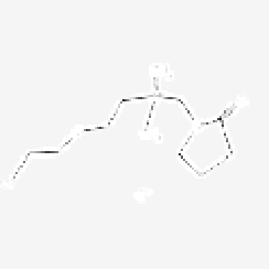 CCCCCCCCCCCCOCC[N+](C)(C)CN1CCCC1=O.[Cl-]